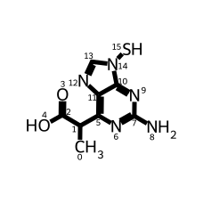 CC(C(=O)O)c1nc(N)nc2c1ncn2S